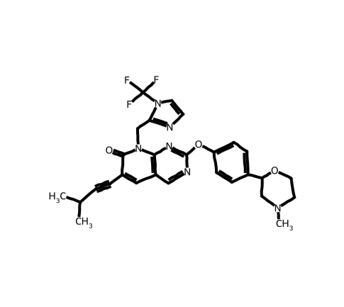 CC(C)C#Cc1cc2cnc(Oc3ccc(C4CN(C)CCO4)cc3)nc2n(Cc2nccn2C(F)(F)F)c1=O